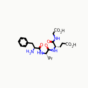 CC(C)[C@H](NC(=O)[C@@H](N)Cc1ccccc1)C(=O)N[C@@H](CCC(=O)O)C(=O)NCC(=O)O